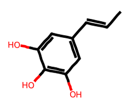 C/C=C/c1cc(O)c(O)c(O)c1